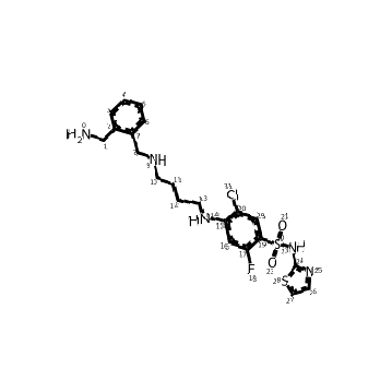 NCc1ccccc1CNCCCCNc1cc(F)c(S(=O)(=O)Nc2nccs2)cc1Cl